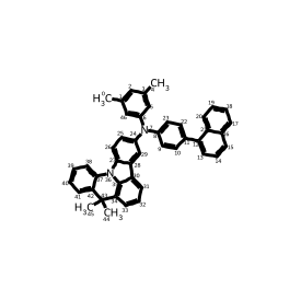 Cc1cc(C)cc(N(c2ccc(-c3cccc4ccccc34)cc2)c2ccc3c(c2)c2cccc4c2n3-c2ccccc2C4(C)C)c1